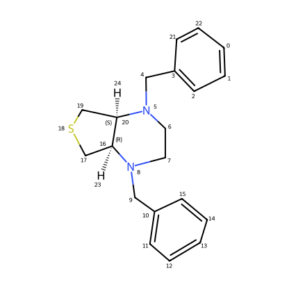 c1ccc(CN2CCN(Cc3ccccc3)[C@H]3CSC[C@H]32)cc1